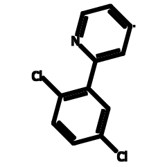 Clc1ccc(Cl)c(-c2c[c]ccn2)c1